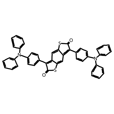 O=C1Sc2cc3c(cc2=C1c1ccc(N(c2ccccc2)c2ccccc2)cc1)SC(=O)C=3c1ccc(N(c2ccccc2)c2ccccc2)cc1